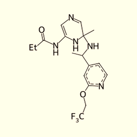 CCC(=O)NC1=CN=CC(C)(NC(C)c2ccnc(OCC(F)(F)F)c2)N1